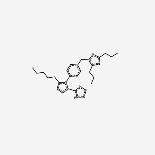 CCCCCc1ccc(-c2nnn[nH]2)n1-c1ccc(Cn2nc(CCC)nc2CCC)cc1